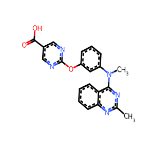 Cc1nc(N(C)c2cccc(Oc3ncc(C(=O)O)cn3)c2)c2ccccc2n1